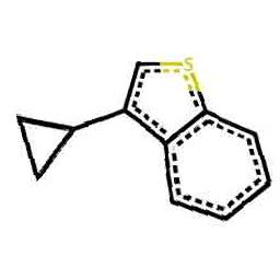 c1ccc2c(C3CC3)csc2c1